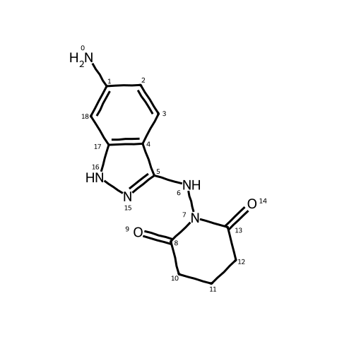 Nc1ccc2c(NN3C(=O)CCCC3=O)n[nH]c2c1